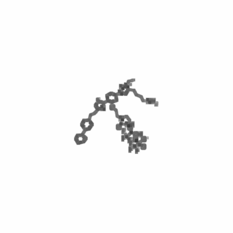 CC[n+]1nn(-c2ccc(-c3nc(CCc4ccc(-c5ccccc5)cc4)cs3)c(OCCN3CCNC3=O)c2)cc1CCCCN.O=C(O)C(F)(F)F.O=S(=O)([O-])C(F)(F)F